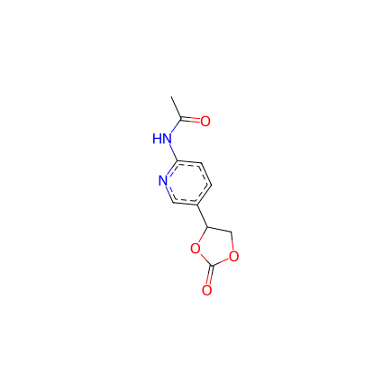 CC(=O)Nc1ccc(C2COC(=O)O2)cn1